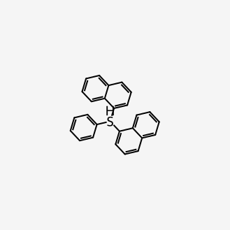 c1ccc([SH](c2cccc3ccccc23)c2cccc3ccccc23)cc1